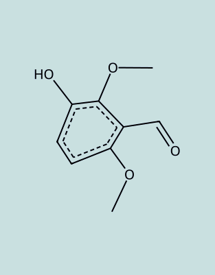 COc1ccc(O)c(OC)c1C=O